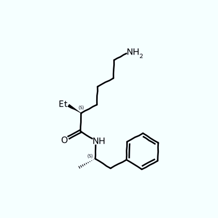 CC[C@@H](CCCCN)C(=O)N[C@@H](C)Cc1ccccc1